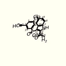 C#Cc1cc(C)cc(P(=O)(OC)c2c(C(N)=O)[nH]c3ccc(Cl)cc23)c1